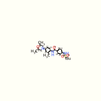 Cc1cc(N2C[C@@H](C)O[C@@H](C)C2)ccc1NC(=O)c1ccc(NS(=O)(=O)C(C)(C)C)cc1